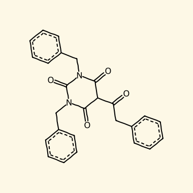 O=C(Cc1ccccc1)C1C(=O)N(Cc2ccccc2)C(=O)N(Cc2ccccc2)C1=O